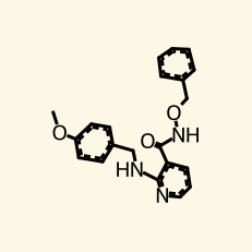 COc1ccc(CNc2ncccc2C(=O)NOCc2ccccc2)cc1